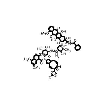 CN[C@H]1[C@@H](O[C@@H]2C3CC#C[C@H]4O[C@@]4([C@H]4COC(=O)O4)C#CC3=C[C@H]2OC(=O)c2c(O)ccc3c(C)cc(OC)cc23)O[C@H](C)[C@H](O)[C@@H]1O.COc1cccc2c1C(=O)c1c(O)c3c(c(O)c1C2=O)C[C@@](O)(/C(C)=N/NC(=O)c1ccccc1)C[C@@H]3O[C@H]1C[C@H](N)[C@H](O)[C@H](C)O1